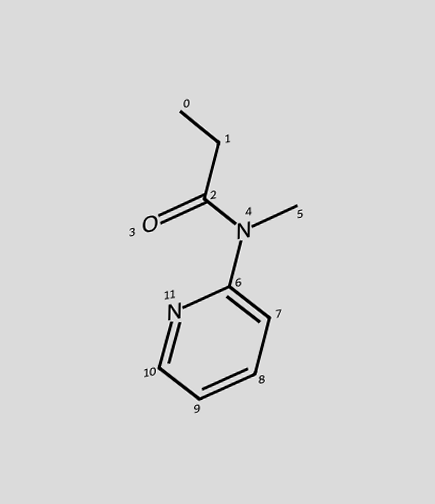 CCC(=O)N(C)c1ccccn1